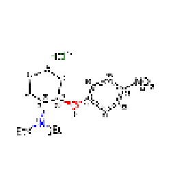 CCN(CC)[C@@H]1CCCC[C@H]1Oc1ccc([N+](=O)[O-])cc1.Cl